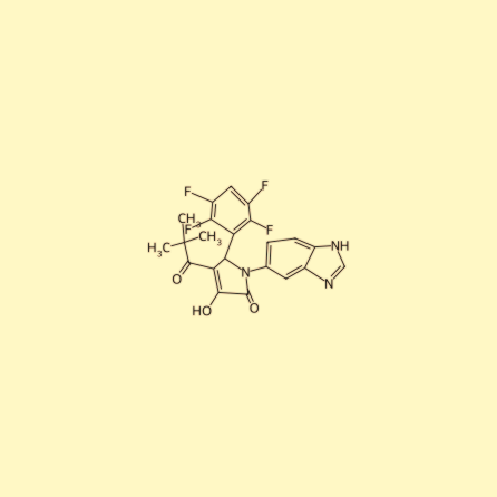 CC(C)(C)C(=O)C1=C(O)C(=O)N(c2ccc3[nH]cnc3c2)C1c1c(F)c(F)cc(F)c1F